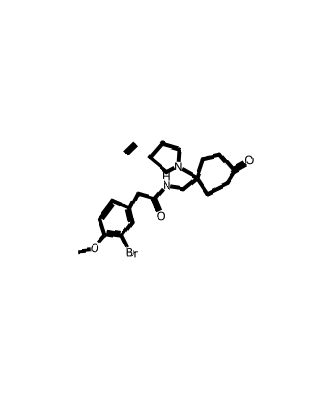 C=C.COc1ccc(CC(=O)NCC2(N3CCCC3)CCC(=O)CC2)cc1Br